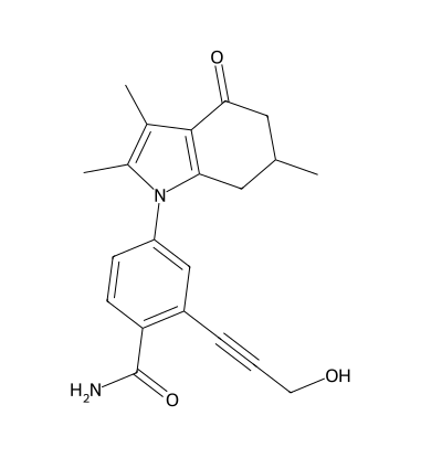 Cc1c2c(n(-c3ccc(C(N)=O)c(C#CCO)c3)c1C)CC(C)CC2=O